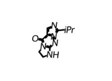 CC(C)c1ncc2c(=O)n3c(nn12)NCC3